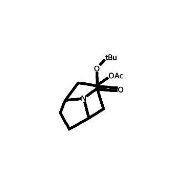 CC(=O)OC1CC2CCC(C1)N2C(=O)OC(C)(C)C